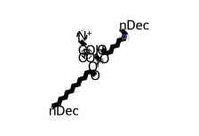 CCCCCCCCCCC/C=C\CCCCC(=O)O[C@H](COC(=O)CCCCCCCCCCCCCCCCCCCCC)COP(=O)(O)OCC[N+](C)(C)C